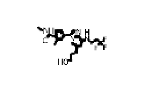 CCNC(=O)c1ccc(-c2cnc3c(NCCC(F)(F)F)cc(CCCO)cn23)cc1C